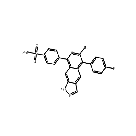 CNS(=O)(=O)c1ccc(-c2nc(C(C)C)c(-c3ccc(F)cc3)c3cc4cn[nH]c4cc23)cc1